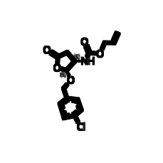 C=CCOC(=O)N[C@H]1CC(=O)O[C@@H]1OCc1ccc(Cl)cc1